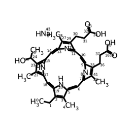 CCc1c(C)c2cc3nc(cc4nc(cc5[nH]c(cc1[nH]2)c(C)c5C(C)O)C(C)=C4CCC(=O)O)C(CCC(=O)O)=C3C.[NaH]